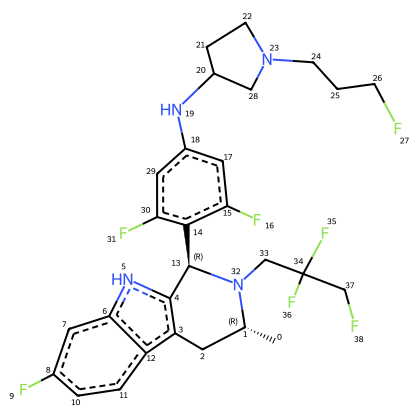 C[C@@H]1Cc2c([nH]c3cc(F)ccc23)[C@@H](c2c(F)cc(NC3CCN(CCCF)C3)cc2F)N1CC(F)(F)CF